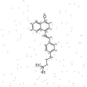 CCN(CC)CCSc1ccc(C=Nc2ccc(Cl)c3ccccc23)cc1